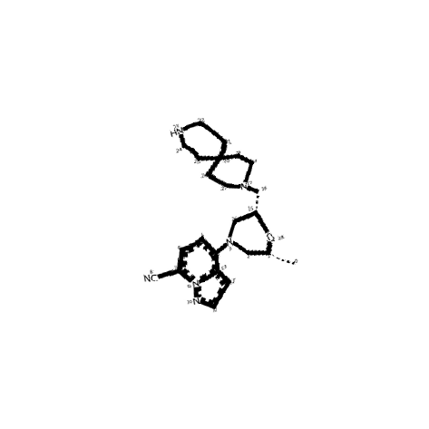 C[C@@H]1CN(c2ccc(C#N)n3nccc23)C[C@H](CN2CCC3(CCNCC3)CC2)O1